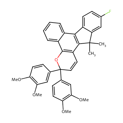 COc1ccc(C2(c3ccc(OC)c(OC)c3)C=Cc3c4c(c5ccccc5c3O2)-c2ccc(F)cc2C4(C)C)cc1OC